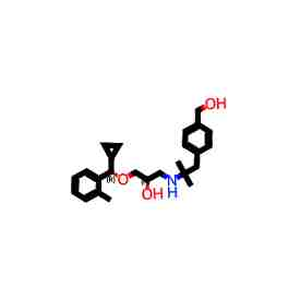 Cc1ccccc1[C@H](OC[C@H](O)CNC(C)(C)Cc1ccc(CO)cc1)C1CC1